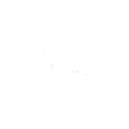 CNC(CCCNC(=O)OCc1ccccc1)C(=O)OCc1ccccc1